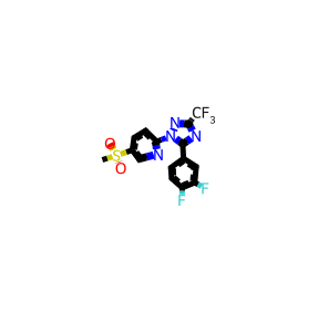 CS(=O)(=O)c1ccc(-n2nc(C(F)(F)F)nc2-c2ccc(F)c(F)c2)nc1